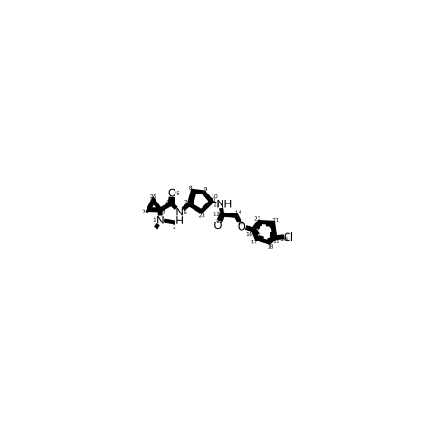 CN(C)C1(C(=O)NC2=CC[C@H](NC(=O)COc3ccc(Cl)cc3)C2)CC1